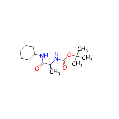 C[C@H](NC(=O)OC(C)(C)C)C(=O)NC1CCCCC1